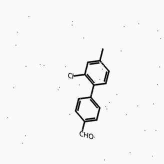 Cc1ccc(-c2ccc([C]=O)cc2)c(Cl)c1